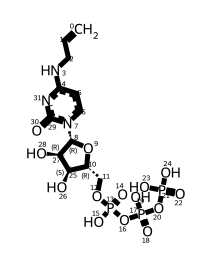 C=CCNc1ccn([C@@H]2O[C@H](COP(=O)(O)OP(=O)(O)OP(=O)(O)O)[C@@H](O)[C@H]2O)c(=O)n1